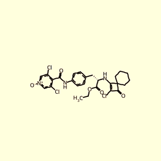 CCOC(=O)[C@H](Cc1ccc(NC(=O)c2c(Cl)c[n+]([O-])cc2Cl)cc1)NC1=C(Cl)C(=O)C12CCCCC2